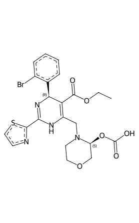 CCOC(=O)C1=C(CN2CCOC[C@@H]2OC(=O)O)NC(c2nccs2)=N[C@H]1c1ccccc1Br